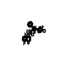 Cc1c(-c2ccc(=O)n(C)c2)nn(-c2ccccc2)c1NC(=O)NC1CCN(C)c2c(F)cccc21